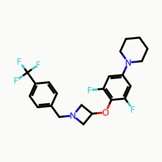 Fc1cc(N2CCCCC2)cc(F)c1OC1CN(Cc2ccc(C(F)(F)F)cc2)C1